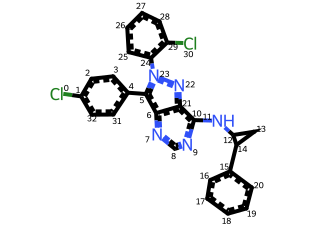 Clc1ccc(-c2c3ncnc(NC4CC4c4ccccc4)c3nn2-c2ccccc2Cl)cc1